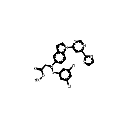 CC(C)(C)OC(=O)CN(Sc1cc(Cl)cc(Cl)c1)c1ccc2c(ccn2-c2cc(-c3nccs3)ncn2)c1